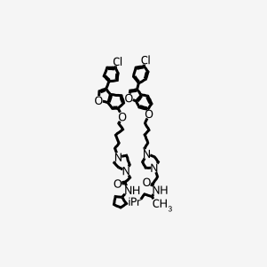 CC(C)CC(C)NC(=O)CN1CCN(CCCCCOc2ccc3c(-c4ccc(Cl)cc4)coc3c2)CC1.O=C(CN1CCN(CCCCCOc2ccc3c(-c4ccc(Cl)cc4)coc3c2)CC1)NC1CCCC1